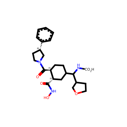 O=C(O)NC(C1CCOC1)C1CC[C@H](C(=O)N2CC[C@H](c3ccccc3)C2)[C@@H](C(=O)NO)C1